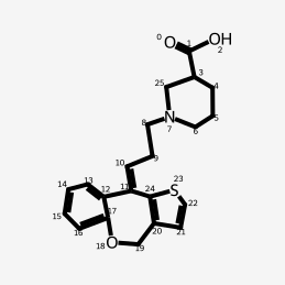 O=C(O)C1CCCN(CCC=C2c3ccccc3OCc3ccsc32)C1